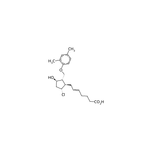 Cc1ccc(OC[C@@H]2[C@@H](CC=CCCCC(=O)O)[C@H](Cl)C[C@H]2O)c(C)c1